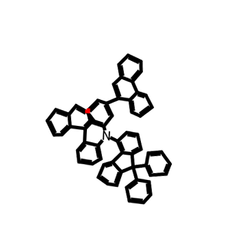 c1ccc(C2(c3ccccc3)c3ccccc3-c3c(N(c4cccc(-c5cc6ccccc6c6ccccc56)c4)c4ccccc4-c4cccc5ccccc45)cccc32)cc1